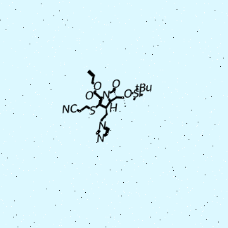 C=CCOC(=O)C1=C(SCCC#N)[C@H](CCn2ccnc2)[C@@H]2[C@@H]([C@@H](C)O[Si](C)(C)C(C)(C)C)C(=O)N12